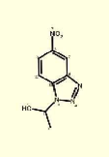 CC(O)n1nnc2cc([N+](=O)[O-])ccc21